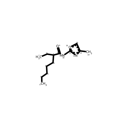 CCCCCC(CC)C(=O)Nc1nc(C)co1